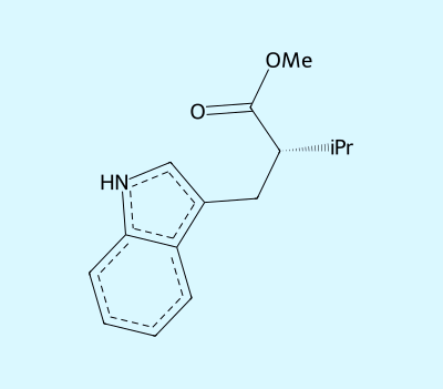 COC(=O)[C@@H](Cc1c[nH]c2ccccc12)C(C)C